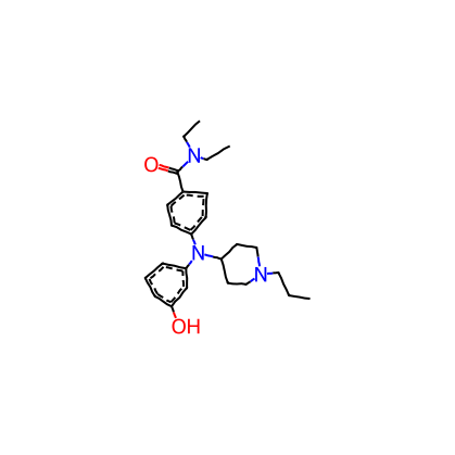 CCCN1CCC(N(c2ccc(C(=O)N(CC)CC)cc2)c2cccc(O)c2)CC1